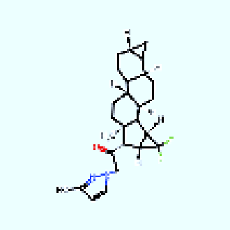 C[C@]12CC[C@@H]3C4CC[C@@H]5CC5[C@H]4CC[C@H]3C1[C@H]1[C@@H]([C@@H]2C(=O)Cn2ccc(C#N)n2)C1(F)F